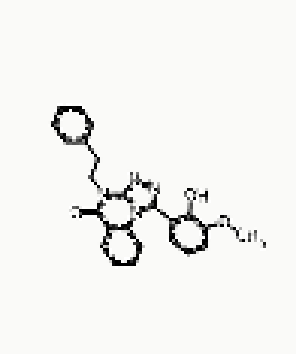 COc1cccc(-c2nnc3n(CCc4ccccc4)c(=O)c4ccccc4n23)c1O